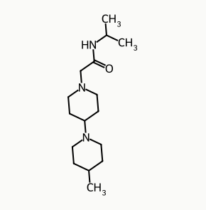 CC1CCN(C2CCN(CC(=O)NC(C)C)CC2)CC1